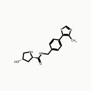 Cc1ncsc1-c1ccc(CNC(=O)[C@H]2C[C@H](O)CN2)cc1